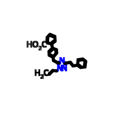 C=CCCn1nc(CCc2ccccc2)nc1Cc1ccc(-c2ccccc2C(=O)O)cc1